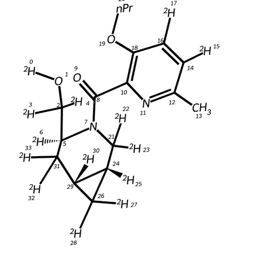 [2H]OC([2H])([2H])[C@@]1([2H])N(C(=O)c2nc(C)c([2H])c([2H])c2OCCC)C([2H])([2H])[C@]2([2H])C([2H])([2H])[C@]2([2H])C1([2H])[2H]